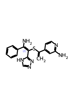 C=C(S/C(=C(\N)c1ccccc1)c1nnc[nH]1)c1ccnc(N)c1